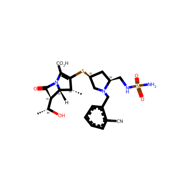 C[C@@H](O)[C@H]1C(=O)N2C(C(=O)O)=C(S[C@H]3C[C@@H](CNS(N)(=O)=O)N(Cc4ccccc4C#N)C3)[C@H](C)[C@H]12